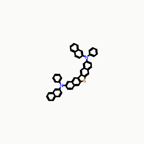 c1ccc(N(c2ccc3ccccc3c2)c2ccc3cc4sc5cc6ccc(N(c7ccccc7)c7ccc8ccccc8c7)cc6cc5c4cc3c2)cc1